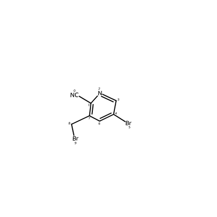 N#Cc1ncc(Br)cc1CBr